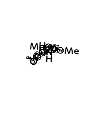 C#CC(=O)N1CCC(NCC(=O)Nc2cc(OC)ccc2OC)CC1